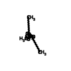 CCCCCCCCCCCCCCCC(=O)N1CCN(C(=O)CCCCCCCCCCCCCCC)CC(C(=O)C(C)C)C1